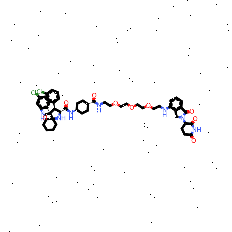 O=C1CCC(N2Cc3c(NCCOCCOCCOCCNC(=O)[C@H]4CC[C@H](NC(=O)[C@@H]5NC6(CCCCC6)[C@@]6(C(=O)Nc7cc(Cl)ccc76)[C@H]5c5cccc(Cl)c5)CC4)cccc3C2=O)C(=O)N1